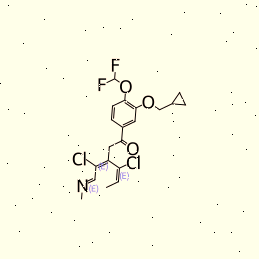 C\C=C(Cl)/C(CC(=O)c1ccc(OC(F)F)c(OCC2CC2)c1)=C(Cl)\C=N\C